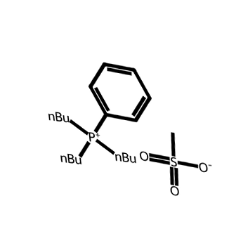 CCCC[P+](CCCC)(CCCC)c1ccccc1.CS(=O)(=O)[O-]